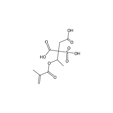 C=C(C)C(=O)OC(C)C(CC(=O)O)(C(=O)O)S(=O)(=O)O